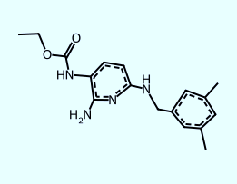 CCOC(=O)Nc1ccc(NCc2cc(C)cc(C)c2)nc1N